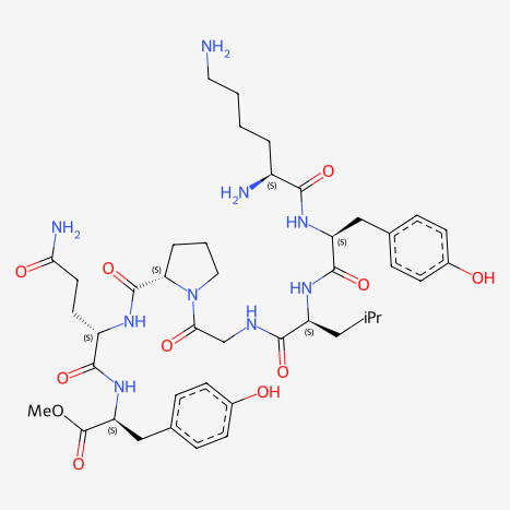 COC(=O)[C@H](Cc1ccc(O)cc1)NC(=O)[C@H](CCC(N)=O)NC(=O)[C@@H]1CCCN1C(=O)CNC(=O)[C@H](CC(C)C)NC(=O)[C@H](Cc1ccc(O)cc1)NC(=O)[C@@H](N)CCCCN